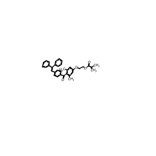 C=C(C)C(=O)OCCOc1cc(C)c(C(=O)c2ccc(C=C(c3ccccc3)c3ccccc3)cc2)c(C)c1